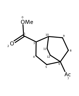 COC(=O)C1CCC2(C(C)=O)CCC1CC2